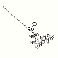 CCCCCCCCCCCCCCCCCCOC[C@H](COP(=O)(O)OC[C@@]1(C#N)O[C@@H](c2ccc3c(NC(=O)OC(C)(C)C)ncnn23)[C@@H]2OC(C)(C)O[C@@H]21)OCc1ccccc1